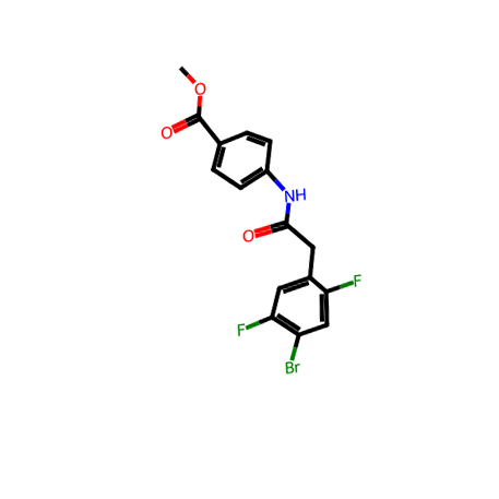 COC(=O)c1ccc(NC(=O)Cc2cc(F)c(Br)cc2F)cc1